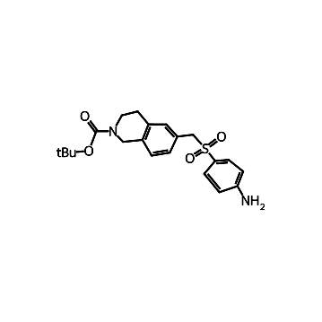 CC(C)(C)OC(=O)N1CCc2cc(CS(=O)(=O)c3ccc(N)cc3)ccc2C1